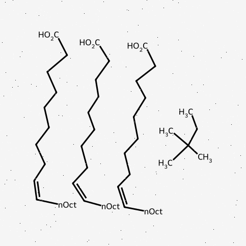 CCC(C)(C)C.CCCCCCCC/C=C\CCCCCCCC(=O)O.CCCCCCCC/C=C\CCCCCCCC(=O)O.CCCCCCCC/C=C\CCCCCCCC(=O)O